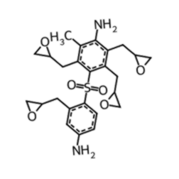 Cc1c(N)c(CC2CO2)c(CC2CO2)c(S(=O)(=O)c2ccc(N)cc2CC2CO2)c1CC1CO1